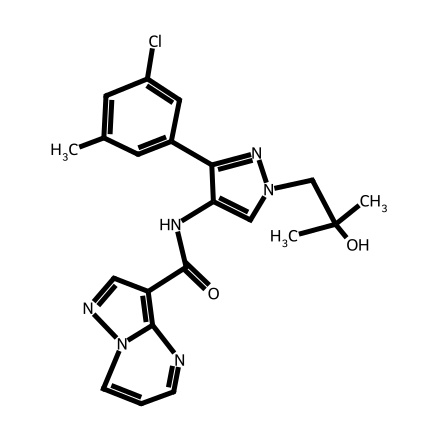 Cc1cc(Cl)cc(-c2nn(CC(C)(C)O)cc2NC(=O)c2cnn3cccnc23)c1